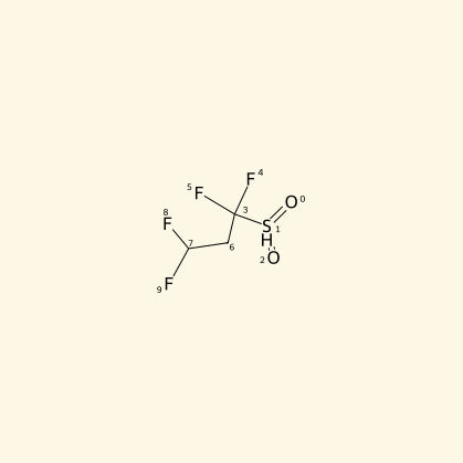 O=[SH](=O)C(F)(F)CC(F)F